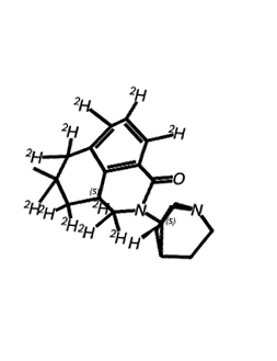 [2H]c1c([2H])c2c3c(c1[2H])C([2H])([2H])C([2H])(C)C([2H])([2H])[C@]3([2H])C([2H])([2H])N([C@@H]1CN3CCC1CC3)C2=O